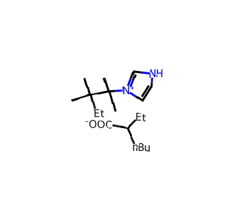 CCC(C)(C)C(C)(C)[n+]1cc[nH]c1.CCCCC(CC)C(=O)[O-]